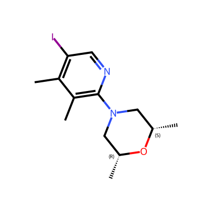 Cc1c(I)cnc(N2C[C@@H](C)O[C@@H](C)C2)c1C